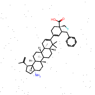 C=C(C)[C@@H]1CC[C@]2(N)CC[C@]3(C)[C@H](CC[C@@H]4[C@@]5(C)CC=C(C6=CC(Cc7ccccc7)[C@@](CF)(C(=O)O)CC6)C(C)(C)[C@@H]5CC[C@]43C)[C@@H]12